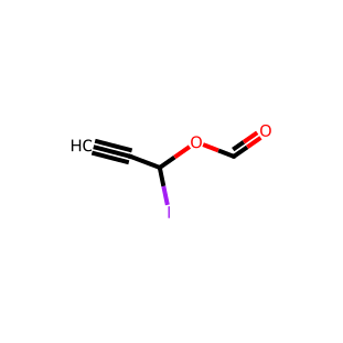 C#CC(I)OC=O